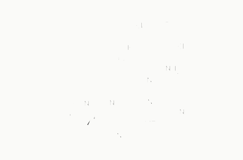 C=CC(=O)N1CCN(C2=C(C#N)C(O)N(C3C(C(C)C)=NC=CC3C)c3nc(-c4c(N)c(Cl)c(F)c(Cl)c4F)c(Cl)cc32)C[C@H]1C